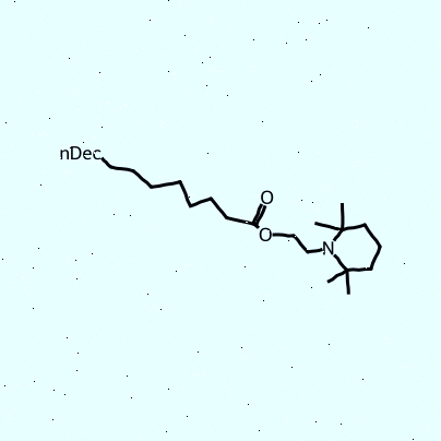 CCCCCCCCCCCCCCCCCC(=O)OCCN1C(C)(C)CCCC1(C)C